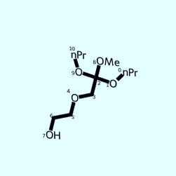 CCCOC(COCCO)(OC)OCCC